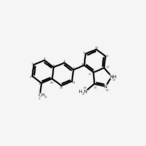 Cc1cccc2cc(-c3cccc4[nH]nc(N)c34)ccc12